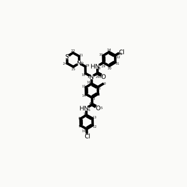 Cc1cc(C(=O)Nc2ccc(Cl)cc2)ccc1N(CCN1CCSCC1)C(=O)Nc1ccc(Cl)cc1